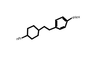 CCCCCCc1ccc(CCC2CCC(CCC)CC2)cc1